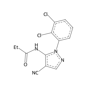 CCC(=O)Nc1c(C#N)cnn1-c1cccc(Cl)c1Cl